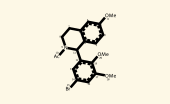 COc1ccc2c(c1)CCN(C(C)=O)C2c1cc(Br)cc(OC)c1OC